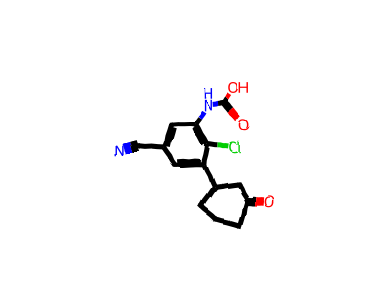 N#Cc1cc(NC(=O)O)c(Cl)c(C2CCCC(=O)C2)c1